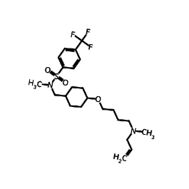 C=CCN(C)CCCCOC1CCC(CN(C)S(=O)(=O)c2ccc(C(F)(F)F)cc2)CC1